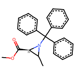 COC(=O)[C@@H]1C(C)N1C(c1ccccc1)(c1ccccc1)c1ccccc1